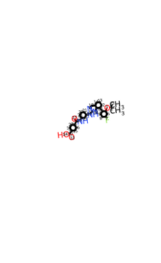 CC(C)Oc1cc(F)ccc1-c1cccc2cnc(Nc3cccc(NC(=O)c4ccc(C(=O)O)cc4)c3)nc12